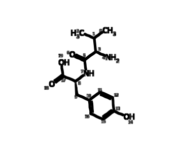 CC(C)C(N)C(=O)N[C@@H](Cc1ccc(O)cc1)C(=O)O